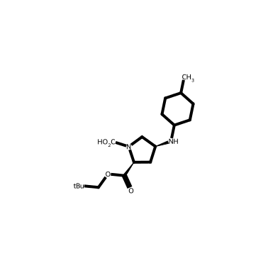 CC1CCC(N[C@H]2C[C@@H](C(=O)OCC(C)(C)C)N(C(=O)O)C2)CC1